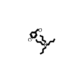 CCCC[N+](CCCC)(CCCC)CCCC.O=Cc1ccc([O-])cc1